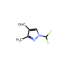 Cc1nn(C(F)F)cc1C=O